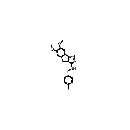 COc1cc2c(cc1OC)-c1n[nH]c(NCc3ccc(C)cc3)c1C2